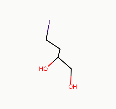 OCC(O)CCI